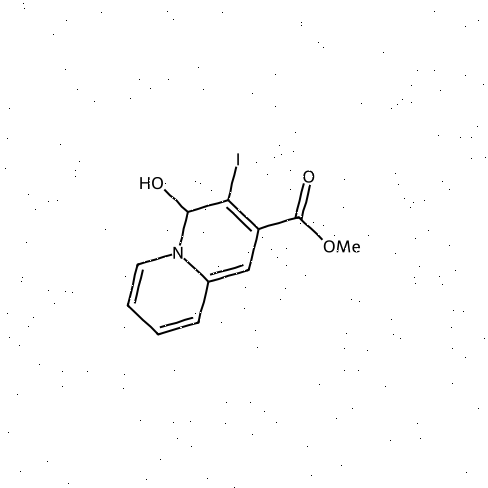 COC(=O)C1=C(I)C(O)N2C=CC=CC2=C1